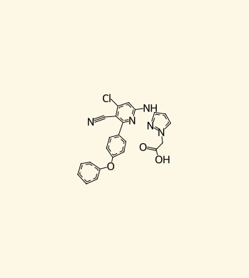 N#Cc1c(Cl)cc(Nc2ccn(CC(=O)O)n2)nc1-c1ccc(Oc2ccccc2)cc1